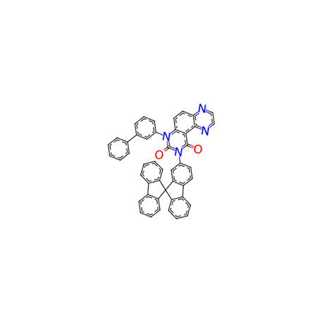 O=c1c2c3nccnc3ccc2n(-c2cccc(-c3ccccc3)c2)c(=O)n1-c1ccc2c(c1)C1(c3ccccc3-c3ccccc31)c1ccccc1-2